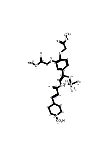 CC(C)(C)OC(=O)COc1ccc(C(=CNC(=O)/C=C/C2CCN(C(=O)O)CC2)O[Si](C)(C)C(C)(C)C)cc1OCC(=O)OC(C)(C)C